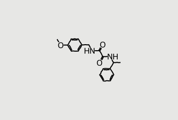 COc1ccc(CNC(=O)C(=O)NC(C)c2ccccc2)cc1